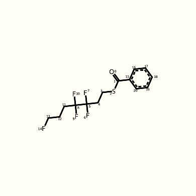 O=C(SCCC(F)(F)C(F)(F)CCCF)c1ccccc1